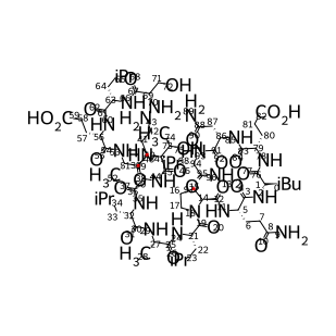 CC[C@H](C)[C@H](NC(=O)[C@H](CCC(N)=O)NC(=O)[C@@H]1CCCN1C(=O)[C@H](CC(C)C)NC(=O)[C@H](C)NC(=O)[C@H](CC(C)C)NC(=O)[C@H](CCCCN)NC(=O)[C@@H](NC(=O)[C@H](C)NC(=O)[C@H](CCC(=O)O)NC(=O)[C@H](CC(C)C)NC(=O)[C@@H](N)CO)[C@@H](C)O)C(=O)N[C@@H](CCC(=O)O)C(=O)N[C@@H](CC(N)=O)C(=O)N[C@H](C(N)=O)C(C)C